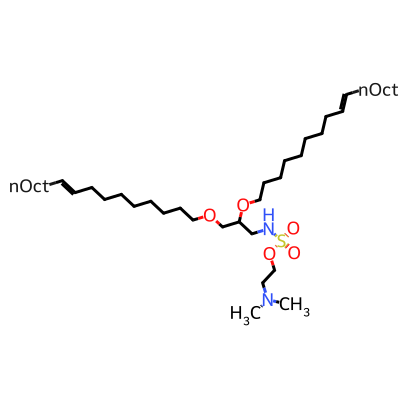 CCCCCCCCC=CCCCCCCCCOCC(CNS(=O)(=O)OCCN(C)C)OCCCCCCCCC=CCCCCCCCC